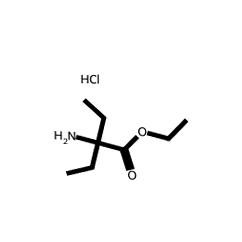 CCOC(=O)C(N)(CC)CC.Cl